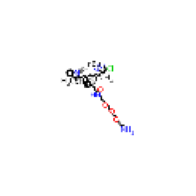 CCCC[n+]1cc(Cl)cc2c1N=C(/C=C/C(=C/C=C1\N(CCC)c3ccccc3C1(C)C)c1cccc(CCC(=O)NCCCOCCOCCOCCCN)c1)C2(C)C